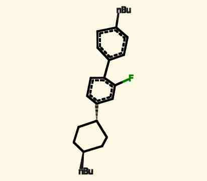 CCCCc1ccc(-c2ccc([C@H]3CC[C@H](CCCC)CC3)cc2F)cc1